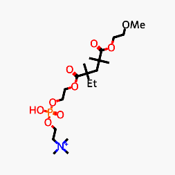 CCC(C)(CC(C)(C)C(=O)OCCOC)C(=O)OCCOP(=O)(O)OCC[N+](C)(C)C